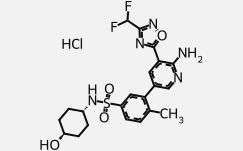 Cc1ccc(S(=O)(=O)N[C@H]2CC[C@H](O)CC2)cc1-c1cnc(N)c(-c2nc(C(F)F)no2)c1.Cl